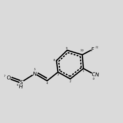 N#Cc1cc(/C=N/[SH]=O)ccc1F